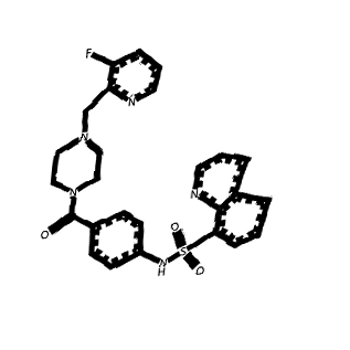 O=C(c1ccc(NS(=O)(=O)c2cccc3cccnc23)cc1)N1CCN(Cc2ncccc2F)CC1